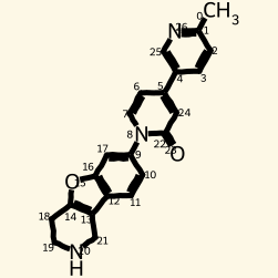 Cc1ccc(-c2ccn(-c3ccc4c5c(oc4c3)CCNC5)c(=O)c2)cn1